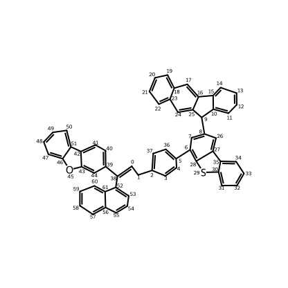 C(/Cc1ccc(-c2cc(C3c4ccccc4-c4cc5ccccc5cc43)cc3c2sc2ccccc23)cc1)=C(\c1ccc2c(c1)oc1ccccc12)c1cccc2ccccc12